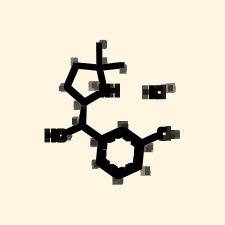 CC1(C)CC[C@H](C(O)c2cccc(Cl)c2)N1.Cl